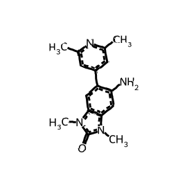 Cc1cc(-c2cc3c(cc2N)n(C)c(=O)n3C)cc(C)n1